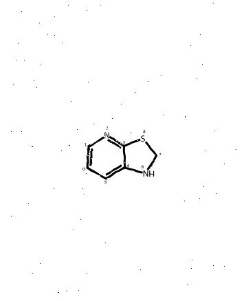 c1cnc2c(c1)NCS2